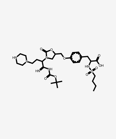 CCCCS(=O)(=O)NC(Cc1ccc(OCC2CN(C(CCN3CCNCC3)C(=N)NC(=O)OC(C)(C)C)C(=O)O2)cc1)C(=O)O